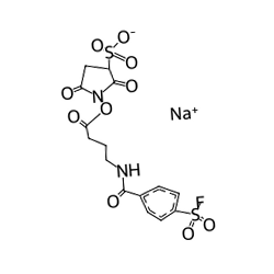 O=C(CCCNC(=O)c1ccc(S(=O)(=O)F)cc1)ON1C(=O)CC(S(=O)(=O)[O-])C1=O.[Na+]